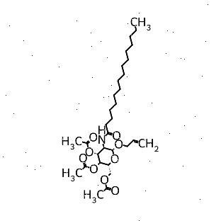 C=CCO[C@@H]1O[C@H](COC(C)=O)[C@@H](OC(C)=O)[C@H](OC(C)=O)[C@H]1NC(=O)CCCCCCCCCCCCCCC